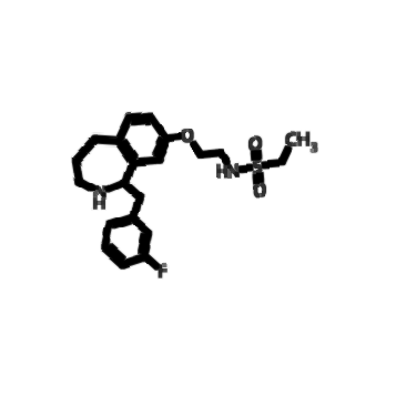 CCS(=O)(=O)NCCOc1ccc2c(c1)C(Cc1cccc(F)c1)NCCC2